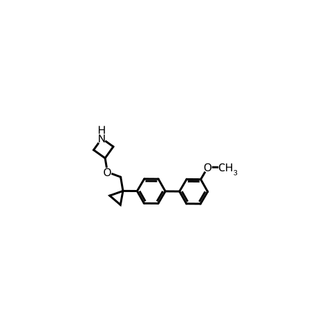 COc1cccc(-c2ccc(C3(COC4CNC4)CC3)cc2)c1